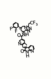 O=C(N[C@H]1C[C@@H](c2cccc(F)c2F)Cn2c(CC(F)(F)F)nnc21)c1cnc2c(c1)C[C@@]1(C2)C(=O)Nc2ncccc21